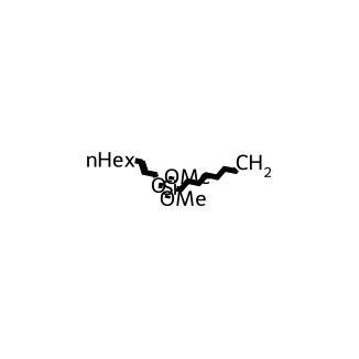 C=CCCCCCC[Si](OC)(OC)OCC=CCCCCCC